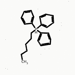 CCCCCC[PH](c1ccccc1)(c1ccccc1)c1ccccc1